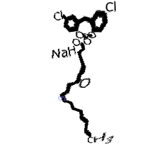 CCCCCCCC/C=C\CCC(=O)CCCCC(=O)OP1Oc2ccc(Cl)cc2Cc2cc(Cl)ccc2O1.[NaH]